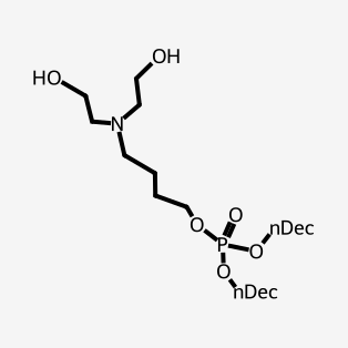 CCCCCCCCCCOP(=O)(OCCCCCCCCCC)OCCCCN(CCO)CCO